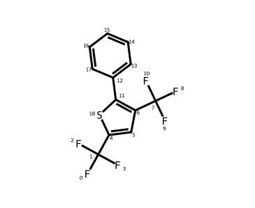 FC(F)(F)c1cc(C(F)(F)F)c(-c2ccccc2)s1